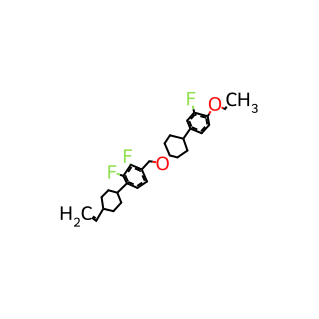 C=CC1CCC(c2ccc(COC3CCC(c4ccc(OCC)c(F)c4)CC3)c(F)c2F)CC1